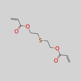 C=CC(=O)OCCSCCOC(=O)C=C